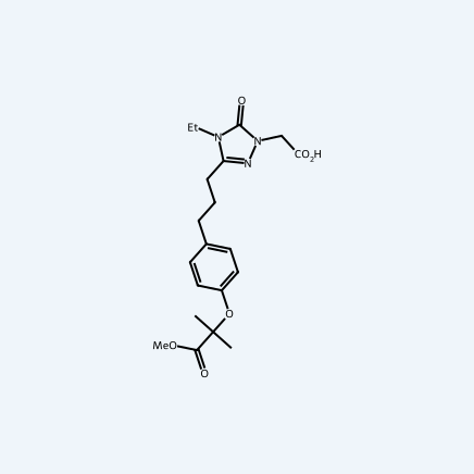 CCn1c(CCCc2ccc(OC(C)(C)C(=O)OC)cc2)nn(CC(=O)O)c1=O